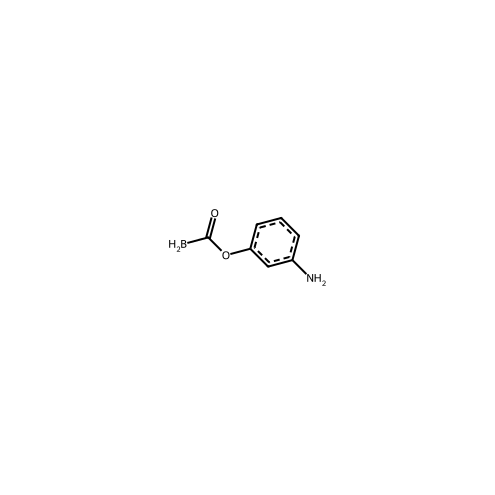 BC(=O)Oc1cccc(N)c1